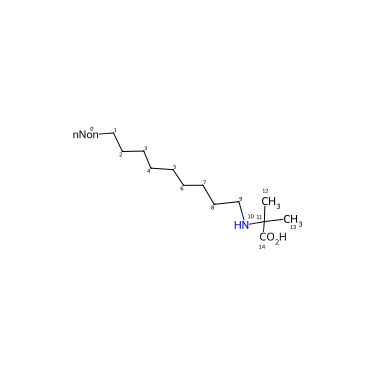 CCCCCCCCCCCCCCCCCCNC(C)(C)C(=O)O